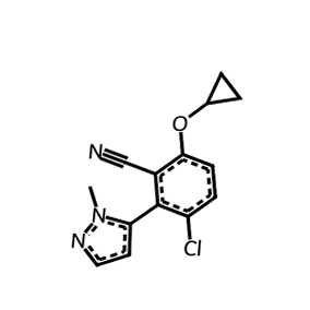 Cn1nccc1-c1c(Cl)ccc(OC2CC2)c1C#N